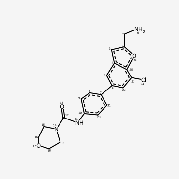 NCc1cc2cc(-c3ccc(NC(=O)N4CCOCC4)cc3)cc(Cl)c2o1